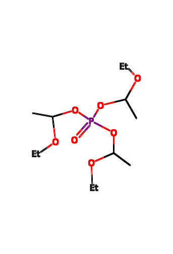 CCOC(C)OP(=O)(OC(C)OCC)OC(C)OCC